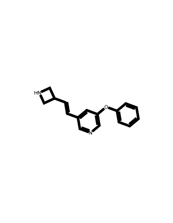 C(=CC1CNC1)c1cncc(Oc2ccccc2)c1